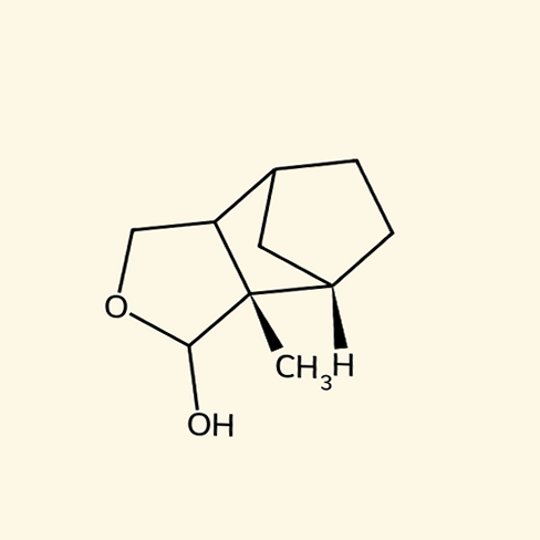 C[C@@]12C(O)OCC1C1CC[C@H]2C1